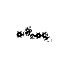 CC(C)(O)c1cc(-c2ccc(C3=NO[C@@H](CC[C@](C)(C(=O)OCc4ccccc4)S(C)(=O)=O)C3)cc2)ccn1